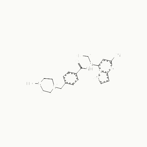 CN1CCN(Cc2ccc(C(=O)NN(CC(C)(C)C)c3cc(C#N)nc4ccnn34)cc2)CC1